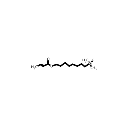 CC=CC(=O)OCCCCCCCC[Si](C)(C)F